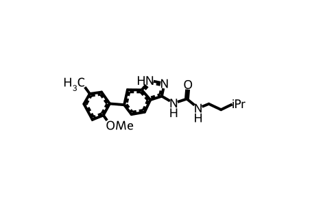 COc1ccc(C)cc1-c1ccc2c(NC(=O)NCCC(C)C)n[nH]c2c1